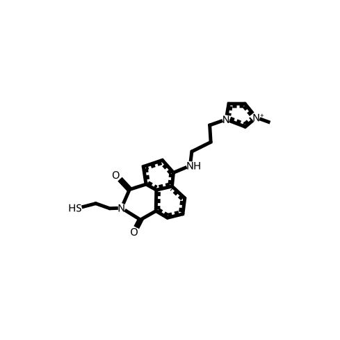 C[n+]1ccn(CCCNc2ccc3c4c(cccc24)C(=O)N(CCS)C3=O)c1